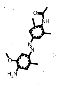 COc1cc(N=Nc2cc(C)c(NC(C)=O)c(C)c2)c(C)cc1N